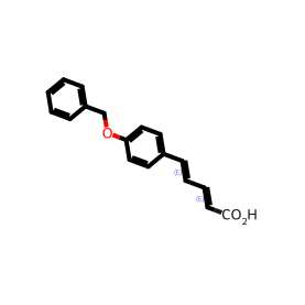 O=C(O)/C=C/C=C/c1ccc(OCc2ccccc2)cc1